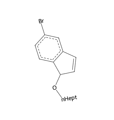 CCCCCCCOC1C=Cc2cc(Br)ccc21